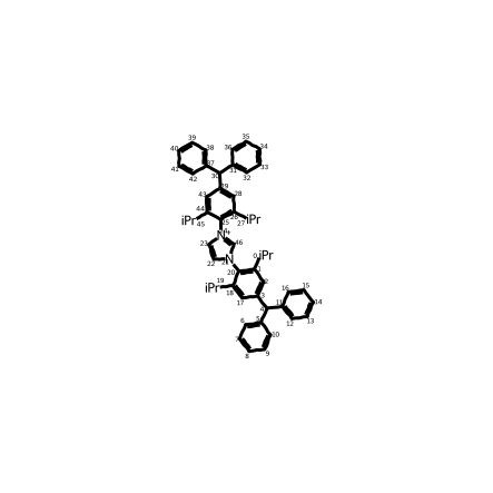 CC(C)c1cc(C(c2ccccc2)c2ccccc2)cc(C(C)C)c1-n1cc[n+](-c2c(C(C)C)cc(C(c3ccccc3)c3ccccc3)cc2C(C)C)c1